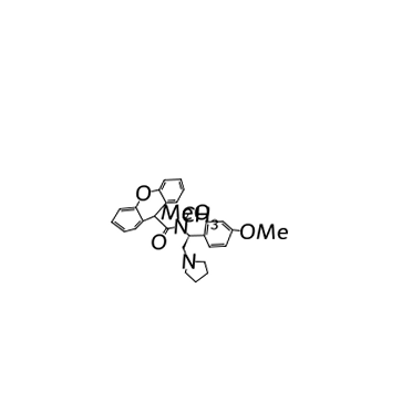 COc1ccc([C@@H](CN2CCCC2)N(C)C(=O)C2c3ccccc3Oc3ccccc32)c(OC)c1